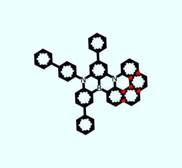 c1ccc(-c2ccc(N3c4ccc(-c5ccccc5)cc4B4c5cccc(-c6ccccc6)c5N(c5ccccc5-c5ccccc5)c5cc(-c6ccccc6)cc3c54)cc2)cc1